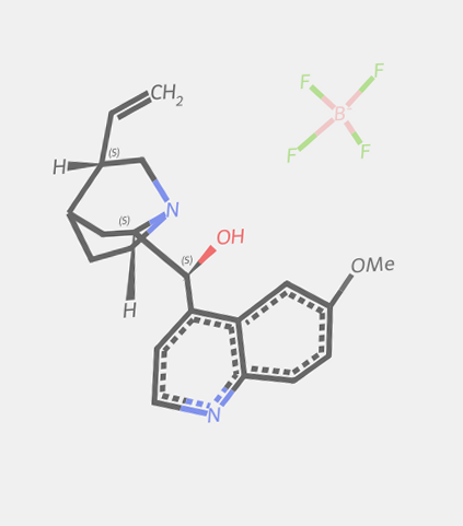 C=C[C@@H]1CN2CCC1C[C@H]2[C@@H](O)c1ccnc2ccc(OC)cc12.F[B-](F)(F)F